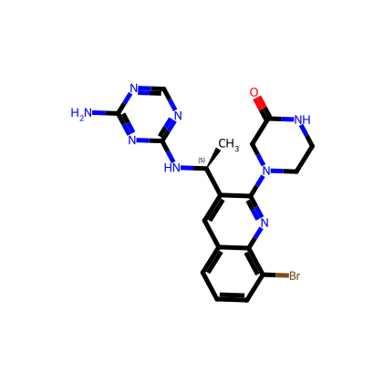 C[C@H](Nc1ncnc(N)n1)c1cc2cccc(Br)c2nc1N1CCNC(=O)C1